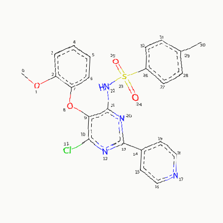 COc1ccccc1Oc1c(Cl)nc(-c2ccncc2)nc1NS(=O)(=O)c1ccc(C)cc1